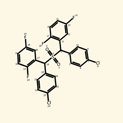 O=S(=O)(C(c1ccc(Cl)cc1)c1cc(F)ccc1F)C(c1ccc(Cl)cc1)c1cc(F)ccc1F